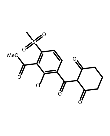 COC(=O)c1c(S(C)(=O)=O)ccc(C(=O)C2C(=O)CCCC2=O)c1Cl